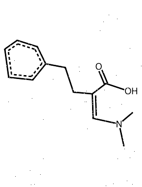 CN(C)C=C(CCc1ccccc1)C(=O)O